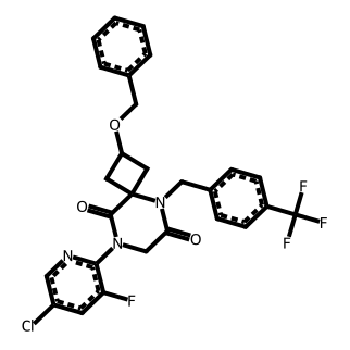 O=C1CN(c2ncc(Cl)cc2F)C(=O)C2(CC(OCc3ccccc3)C2)N1Cc1ccc(C(F)(F)F)cc1